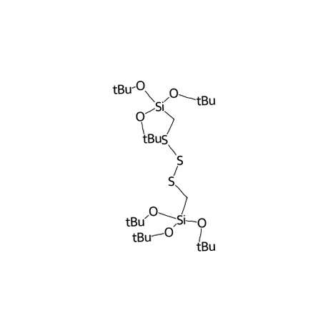 CC(C)(C)O[Si](CSSSC[Si](OC(C)(C)C)(OC(C)(C)C)OC(C)(C)C)(OC(C)(C)C)OC(C)(C)C